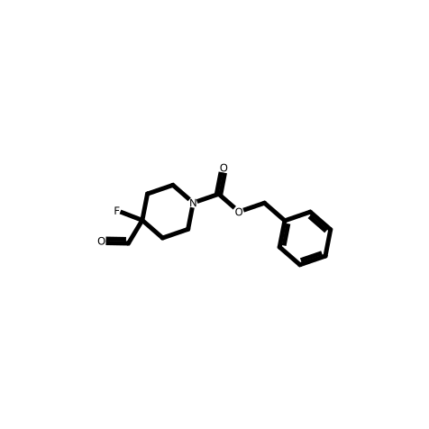 O=CC1(F)CCN(C(=O)OCc2ccccc2)CC1